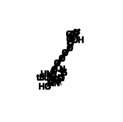 Cc1cc(C)c(C2=C(O)C3(CCC(OCCOCCOCCOCCOCC(=O)N[C@H](C(=O)N4C[C@H](O)C[C@H]4C(=O)N[C@@H](C)c4ccc(-c5scnc5C)cc4)C(C)(C)C)CC3)OC2=O)c(C)c1